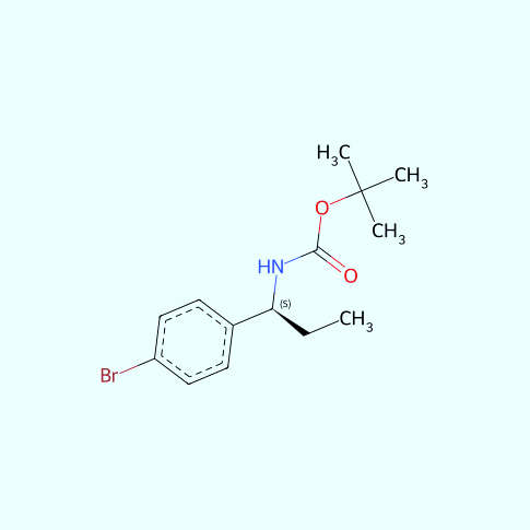 CC[C@H](NC(=O)OC(C)(C)C)c1ccc(Br)cc1